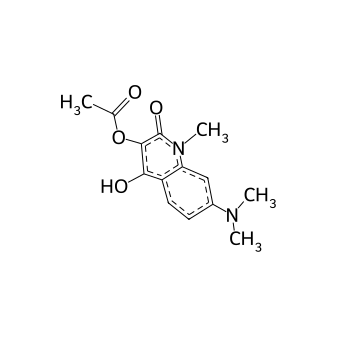 CC(=O)Oc1c(O)c2ccc(N(C)C)cc2n(C)c1=O